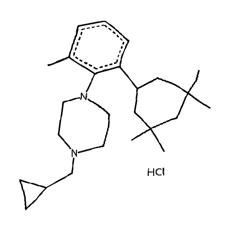 Cc1cccc(C2CC(C)(C)CC(C)(C)C2)c1N1CCN(CC2CC2)CC1.Cl